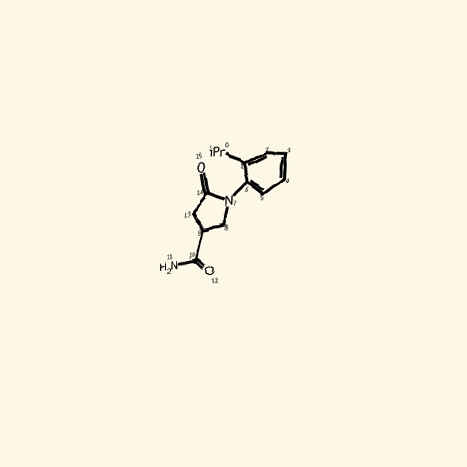 CC(C)c1ccccc1N1CC(C(N)=O)CC1=O